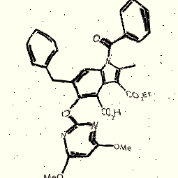 CCOC(=O)c1c(C)n(C(=O)c2ccccc2)c2cc(Cc3ccccc3)c(Oc3nc(OC)cc(OC)n3)c(C(=O)O)c12